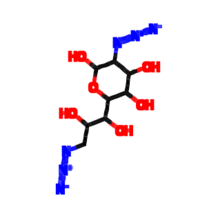 [N-]=[N+]=NCC(O)C(O)C1OC(O)C(N=[N+]=[N-])C(O)C1O